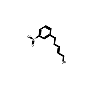 O=[N+]([O-])c1cccc(CCC=CCO)c1